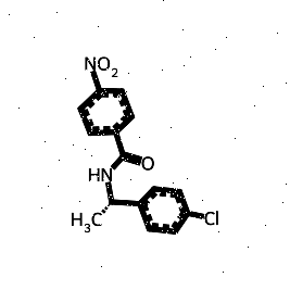 C[C@H](NC(=O)c1ccc([N+](=O)[O-])cc1)c1ccc(Cl)cc1